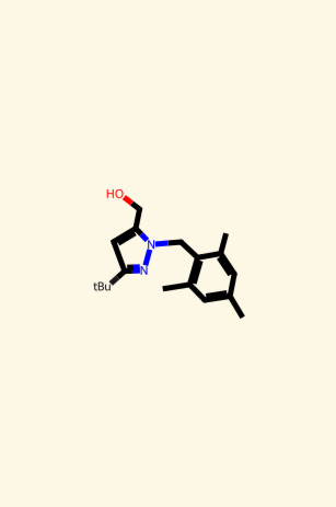 Cc1cc(C)c(Cn2nc(C(C)(C)C)cc2CO)c(C)c1